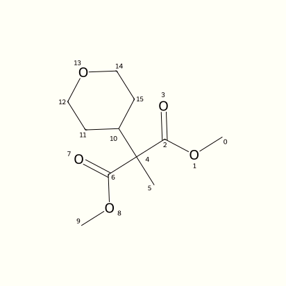 COC(=O)C(C)(C(=O)OC)C1CCOCC1